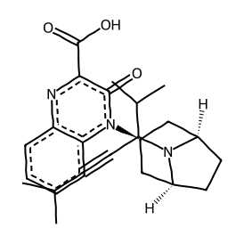 CC(C)C#CC(C(C)C)N1[C@@H]2CC[C@H]1C[C@@H](n1c(=O)c(C(=O)O)nc3ccccc31)C2